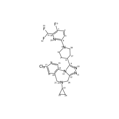 Fc1ccc(N2CCC(c3nnc4n3-c3ccc(Cl)cc3CN(C3CC3)C4)CC2)nc1C(F)F